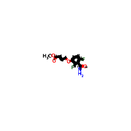 COC(=O)C=CCOc1ccc(F)c(C(N)=O)c1F